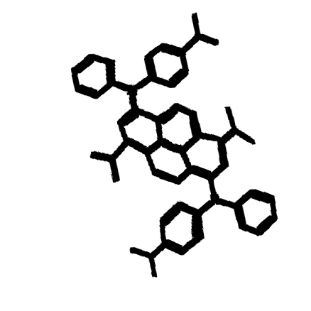 CC(C)c1ccc(N(c2ccccc2)c2cc(C(C)C)c3ccc4c(N(c5ccccc5)c5ccc(C(C)C)cc5)cc(C(C)C)c5ccc2c3c54)cc1